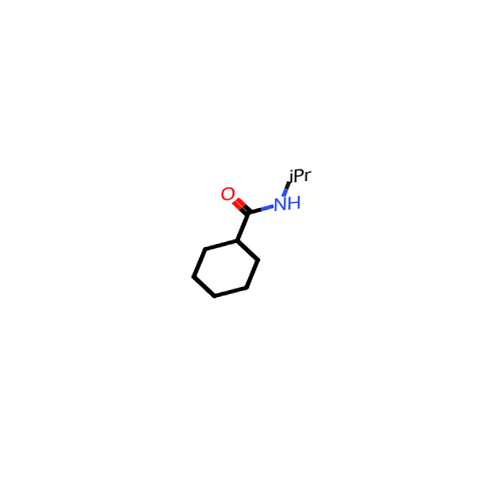 CC(C)NC(=O)C1CCCCC1